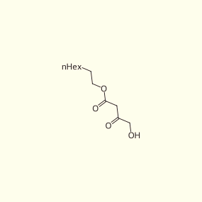 CCCCCCCCOC(=O)CC(=O)CO